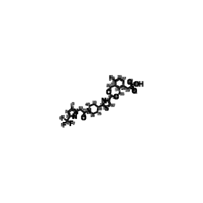 Cc1cc(C(F)(F)F)nn1CC(=O)N1CCC(c2nc(C3OCc4c(F)ccc(CS(=O)(=O)O)c4CO3)cs2)CC1